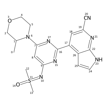 CC1COCCN1c1cc(N=S(C)(C)=O)nc(-c2cc(C#N)nc3[nH]ccc23)n1